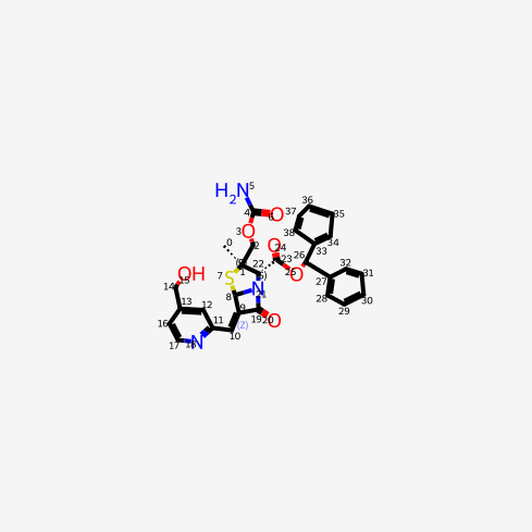 C[C@@]1(COC(N)=O)SC2/C(=C\c3cc(CO)ccn3)C(=O)N2[C@H]1C(=O)OC(c1ccccc1)c1ccccc1